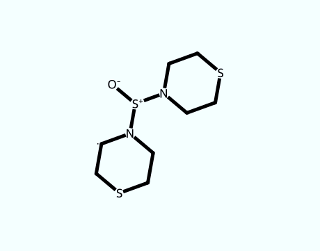 [O-][S+](N1[CH]CSCC1)N1CCSCC1